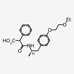 CCOCCOc1ccc(C[C@@H](C)NC(=O)C(C(=O)O)c2ccccc2)cc1